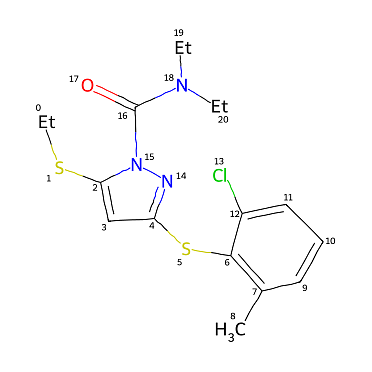 CCSc1cc(Sc2c(C)cccc2Cl)nn1C(=O)N(CC)CC